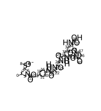 CC(C)CN(CC[S+](C)[O-])C(=O)OCc1ccc(NC(=O)C(C)NC(=O)CNC(=O)C(CCCCNC(=O)O)NC(=O)ON2C(=O)C=CC2=O)cc1